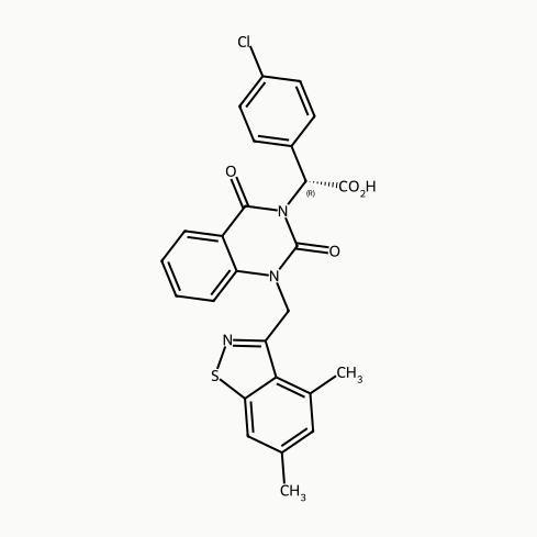 Cc1cc(C)c2c(Cn3c(=O)n([C@@H](C(=O)O)c4ccc(Cl)cc4)c(=O)c4ccccc43)nsc2c1